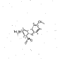 COc1ccc(Sc2ccc(N)cc2[N+](=O)[O-])cc1